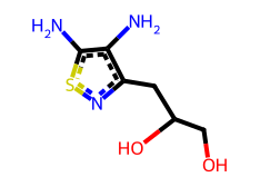 Nc1snc(CC(O)CO)c1N